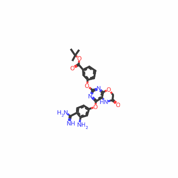 CC(C)(C)OC(=O)c1cccc(Oc2nc3c(c(Oc4ccc(C(=N)N)c(N)c4)n2)NC(=O)CO3)c1